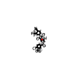 N#CC1C=CC(N2C(=O)C3=C4C[C@@H](C=[N+]4C(=O)c4ccc(Cl)c([N+](=O)[O-])c4)N3C2=O)CC1C(F)(F)F